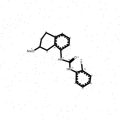 COC1CCc2cccc(NC(=O)Nc3ccccc3F)c2C1